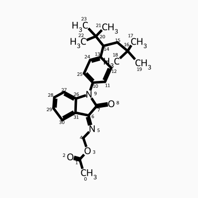 CC(=O)OC/N=C1/C(=O)N(c2ccc(C(CC(C)(C)C)C(C)(C)C)cc2)c2ccccc21